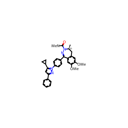 CNC(=O)N1N=C(c2ccc(-n3nc(-c4ccccc4)cc3C3CC3)cc2)c2cc(OC)c(OC)cc2C[C@@H]1C